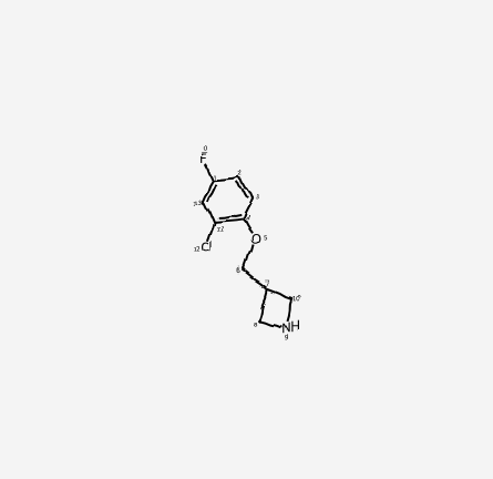 Fc1ccc(OCC2CNC2)c(Cl)c1